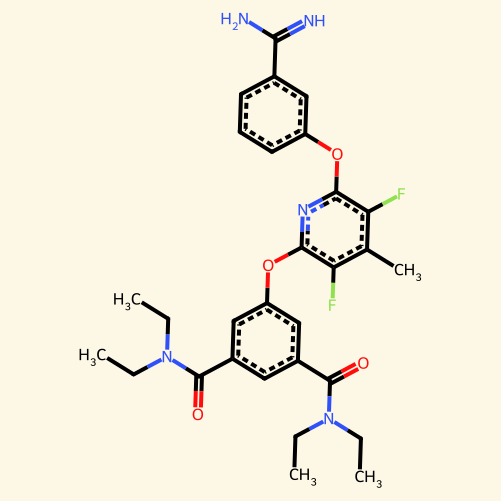 CCN(CC)C(=O)c1cc(Oc2nc(Oc3cccc(C(=N)N)c3)c(F)c(C)c2F)cc(C(=O)N(CC)CC)c1